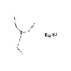 CCP(CC)CC.[Ru].[Ru]